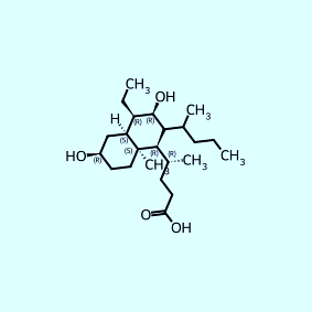 CCCC(C)C1[C@H](O)[C@H](CC)[C@@H]2C[C@H](O)CC[C@]2(C)[C@@H]1[C@H](C)CCC(=O)O